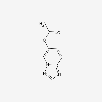 NC(=O)Oc1ccc2ncnn2c1